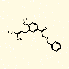 COc1ccc(C(=O)COCc2ccccc2)cc1CC=C(C)C